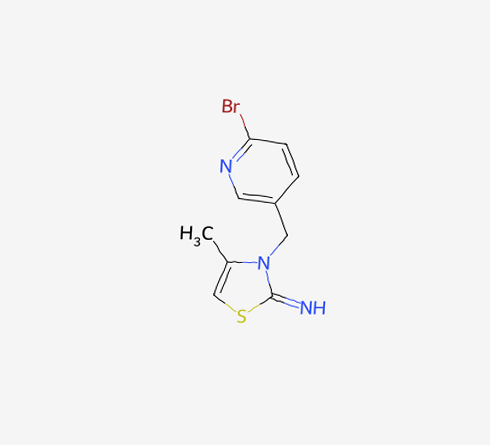 Cc1csc(=N)n1Cc1ccc(Br)nc1